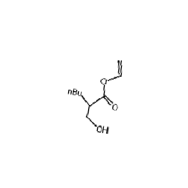 C=COC(=O)C(CO)CCCC